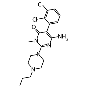 CCCN1CCN(c2nc(N)c(-c3cccc(Cl)c3Cl)c(=O)n2C)CC1